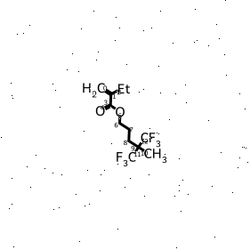 C=C(CC)C(=O)OCCCC(C)(C(F)(F)F)C(F)(F)F